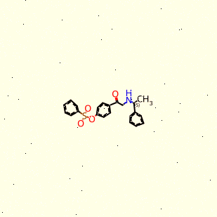 C[C@H](NCC(=O)c1ccc(OS(=O)(=O)c2ccccc2)cc1)c1ccccc1